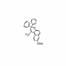 COc1ccc2c3c(ccc2c1)OC(c1ccccc1)(c1ccccc1)C=C3C